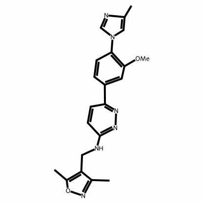 COc1cc(-c2ccc(NCc3c(C)noc3C)nn2)ccc1-n1cnc(C)c1